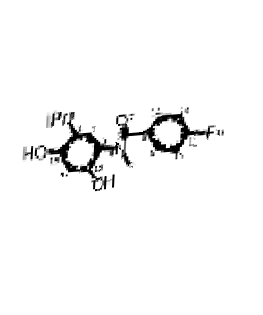 CC(C)c1cc(N(C)C(=O)c2ccc(F)cc2)c(O)cc1O